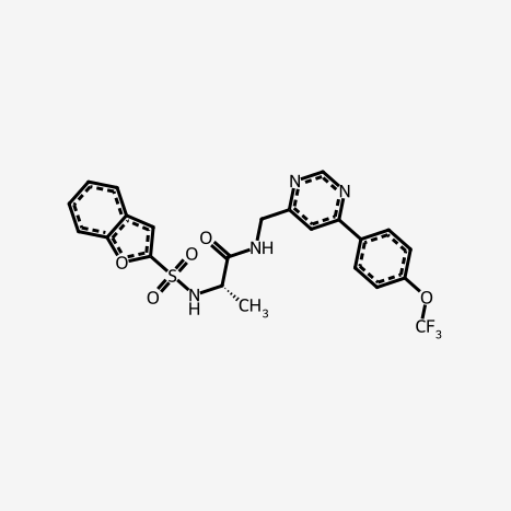 C[C@H](NS(=O)(=O)c1cc2ccccc2o1)C(=O)NCc1cc(-c2ccc(OC(F)(F)F)cc2)ncn1